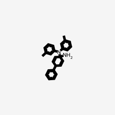 Cc1cccc(N(c2cccc(C)c2)C2(N)C=CC(c3ccccc3)C=C2)c1